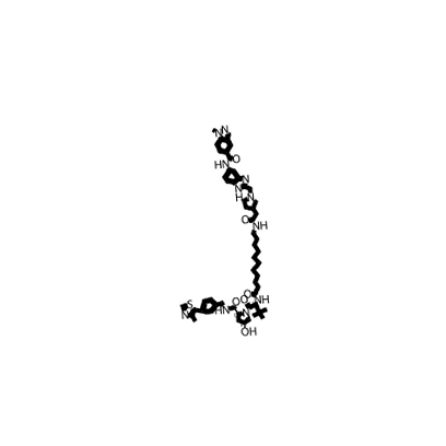 Cc1ncsc1-c1ccc(CNC(=O)[C@@H]2C[C@@H](O)CN2C(=O)[C@@H](NC(=O)CCCCCCCCCCNC(=O)CC2CCN(Cc3nc4cc(NC(=O)c5ccc6c(cnn6C)c5)ccc4[nH]3)C2)C(C)(C)C)cc1